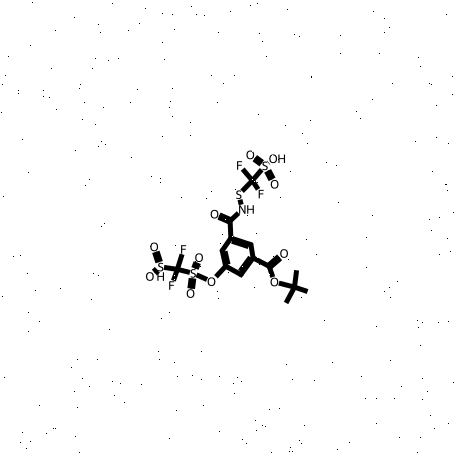 CC(C)(C)OC(=O)c1cc(OS(=O)(=O)C(F)(F)[SH](=O)=O)cc(C(=O)NSC(F)(F)S(=O)(=O)O)c1